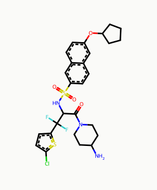 NC1CCN(C(=O)C(NS(=O)(=O)c2ccc3cc(OC4CCCC4)ccc3c2)C(F)(F)c2ccc(Cl)s2)CC1